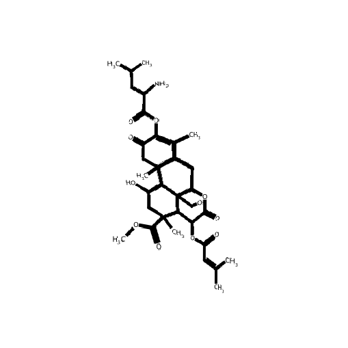 COC(=O)C1(C)CC(O)C2C3(C)CC(=O)C(OC(=O)C(N)CC(C)C)=C(C)C3CC3OC(=O)C(OC(=O)C=C(C)C)C1C32CO